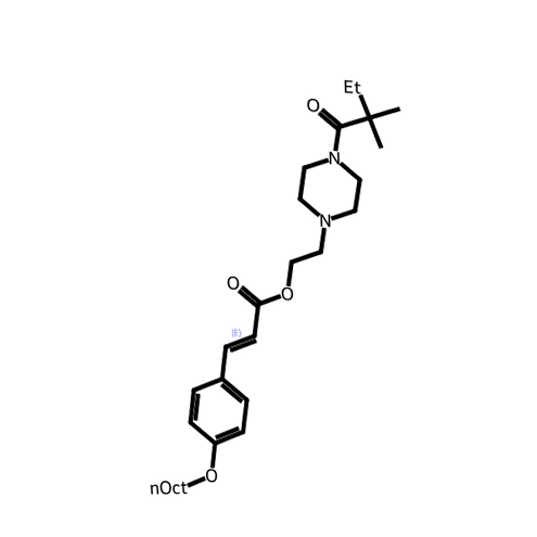 CCCCCCCCOc1ccc(/C=C/C(=O)OCCN2CCN(C(=O)C(C)(C)CC)CC2)cc1